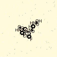 O=C(O)Nc1ccc(C(=O)N[C@@H](Cc2cccc(F)c2)C(=O)N2CCCC3(C2)OC(=O)Nc2ccc(Cl)c(F)c23)cc1